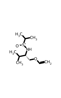 C=COC[C@@H](N[S@@+]([O-])C(C)C)C(C)C